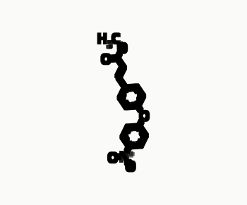 COC(=O)C=Cc1ccc(Oc2ccc([N+](=O)[O-])cc2)cc1